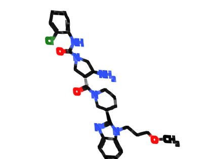 COCCCn1c([C@@H]2CCCN(C(=O)[C@@H]3CN(C(=O)Nc4ccccc4Cl)C[C@H]3N)C2)nc2ccccc21